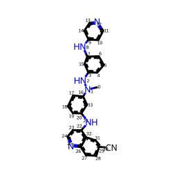 CN(Nc1cccc(Nc2ccncc2)c1)c1cccc(Nc2ccnc3ccc(C#N)cc23)c1